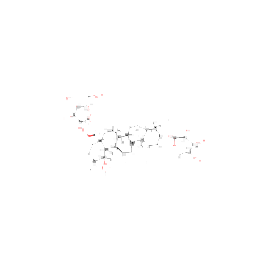 C[C@@H]1CC[C@]2(C(=O)O[C@@H]3O[C@H](CO)[C@@H](O)[C@H](O)[C@H]3O)CC[C@]3(C)C(=CCC4[C@@]5(C)CC[C@H](O[C@@H]6OC[C@H](O)[C@H](O)[C@H]6O)C(C)(C)C5CC[C@]43C)[C@@H]2[C@]1(C)O